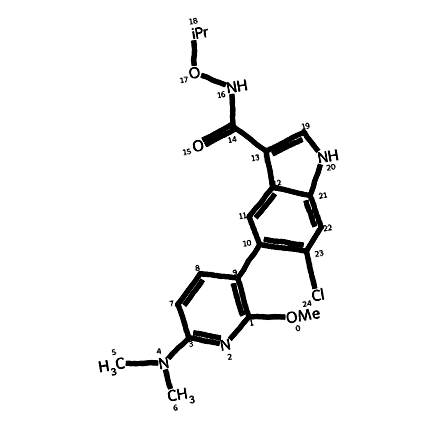 COc1nc(N(C)C)ccc1-c1cc2c(C(=O)NOC(C)C)c[nH]c2cc1Cl